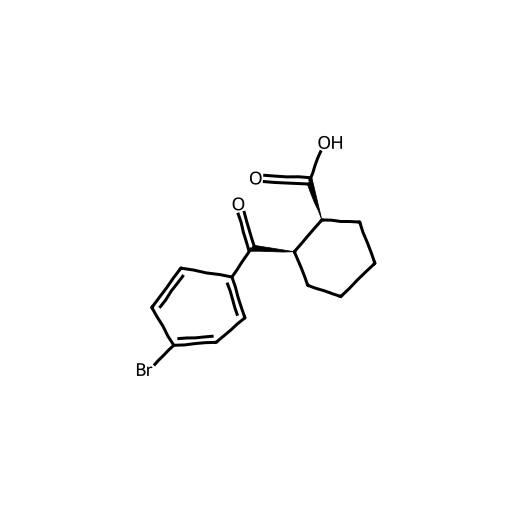 O=C(O)[C@H]1CCCC[C@H]1C(=O)c1ccc(Br)cc1